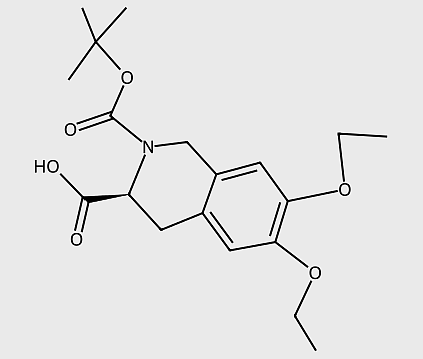 CCOc1cc2c(cc1OCC)CN(C(=O)OC(C)(C)C)[C@H](C(=O)O)C2